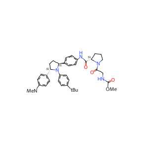 CNc1ccc([C@@H]2CC[C@@H](c3ccc(NC(=O)[C@@H]4CCCN4C(=O)CNC(=O)OC)cc3)N2c2ccc(C(C)(C)C)cc2)cc1